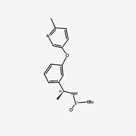 Cc1ccc(Oc2cccc([C@H](C)N[S+]([O-])C(C)(C)C)c2)cn1